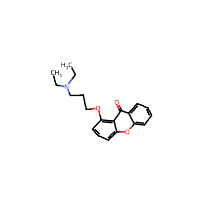 CCN(CC)CCCOc1cccc2oc3ccccc3c(=O)c12